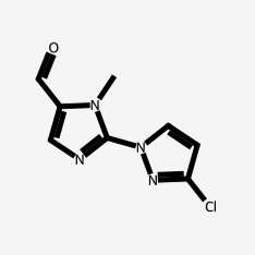 Cn1c(C=O)cnc1-n1ccc(Cl)n1